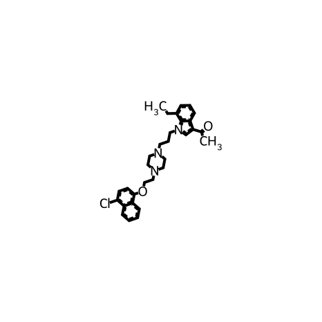 CCc1cccc2c(C(C)=O)cn(CCCN3CCN(CCOc4ccc(Cl)c5ccccc45)CC3)c12